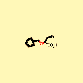 CC(C)C[C@H](OCc1ccccc1)C(=O)O